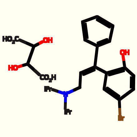 CC(C)N(C/C=C(/c1ccccc1)c1cc(Br)ccc1O)C(C)C.O=C(O)C(O)C(O)C(=O)O